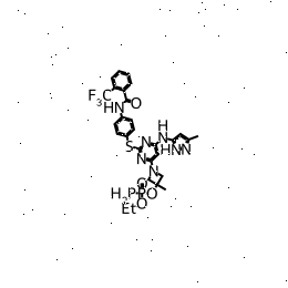 CCOP(=O)(P)OC1(C)CN(c2cc(Nc3cc(C)n[nH]3)nc(Sc3ccc(NC(=O)c4ccccc4C(F)(F)F)cc3)n2)C1